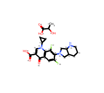 CC(O)C(=O)O.O=C(O)c1cn(C2CC2)c2c(F)c(N3CC4CCCNC4C3)c(F)cc2c1=O